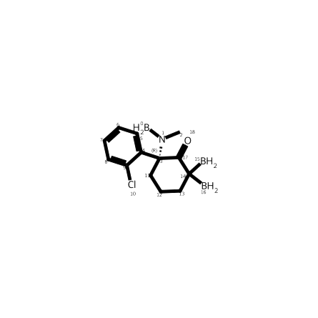 BN(C)[C@@]1(c2ccccc2Cl)CCCC(B)(B)C1=O